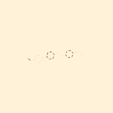 C=CC1CCC(c2ccc(CCc3ccc(OCF)cc3)cc2)CC1